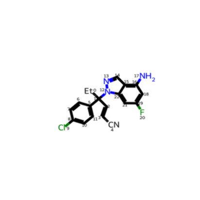 CCC(C=CC#N)(c1ccc(Cl)cc1)n1ncc2c(N)cc(F)cc21